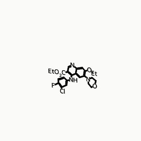 CCOC(=O)c1cnc2cc(OCC)c(N3CCOCC3)cc2c1Nc1ccc(F)c(Cl)c1